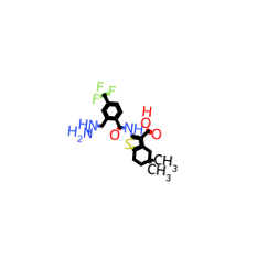 CC1(C)CCc2sc(NC(=O)c3ccc(C(F)(F)F)cc3CNN)c(C(=O)O)c2C1